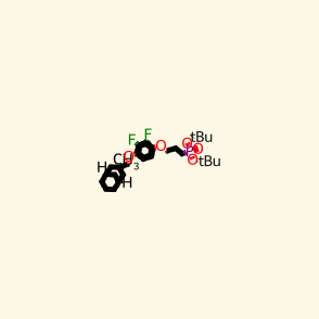 CC1(COc2ccc(OCCCP(=O)(OC(C)(C)C)OC(C)(C)C)c(F)c2F)C[C@@H]2CCC[C@H](C2)C1